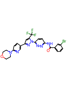 O=C(Nc1ccc(-n2nc(-c3ccc(N4CCOCC4)nc3)cc2C(F)(F)F)nn1)c1cccc(Br)c1